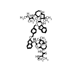 CNC(C)C(=S)N[C@H]1CCS[C@H]2CC(C)(C)[C@@H](C(=O)N[C@H]3c4ccccc4C[C@H]3OCc3ccc(CO[C@@H]4Cc5ccccc5[C@@H]4NC(=O)[C@H]4N5C(=O)[C@@H](NC(=S)C(C)NC)CCS[C@H]5CC4(C)C)cc3)N2C1=O